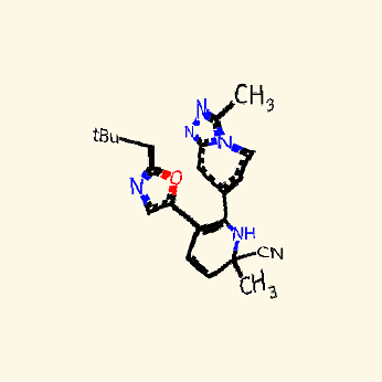 Cc1nnc2cc(C3=C(c4cnc(CC(C)(C)C)o4)C=CC(C)(C#N)N3)ccn12